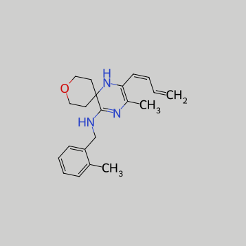 C=C/C=C\C1=C(C)N=C(NCc2ccccc2C)C2(CCOCC2)N1